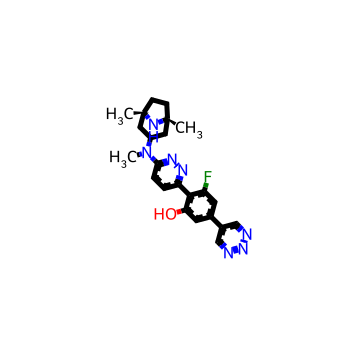 CN(c1ccc(-c2c(O)cc(-c3cnnnc3)cc2F)nn1)C1C[C@]2(C)CC[C@](C)(C1)N2